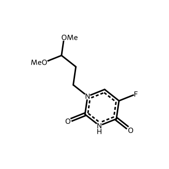 COC(CCn1cc(F)c(=O)[nH]c1=O)OC